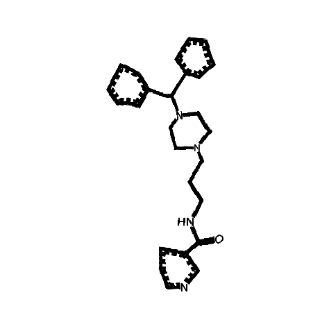 O=C(NCCCN1CCN(C(c2ccccc2)c2ccccc2)CC1)c1cccnc1